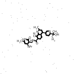 CCCc1cc(C)[nH]c(=O)c1CNC(=O)c1ccc2c(-c3ccc(C(C)(C)O)nc3)cc(C)nc2c1C